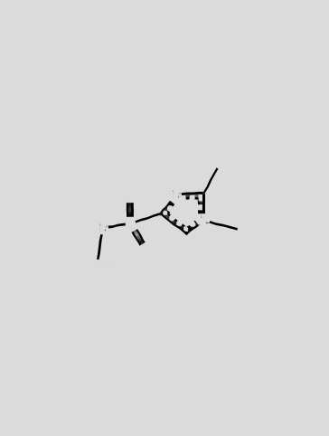 CCCNS(=O)(=O)c1cn(C)c(C)n1